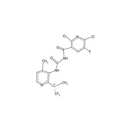 Cc1ccnc([C@H](C)C(F)(F)F)c1NC(=O)NC(=O)c1cc(F)c(Cl)nc1Cl